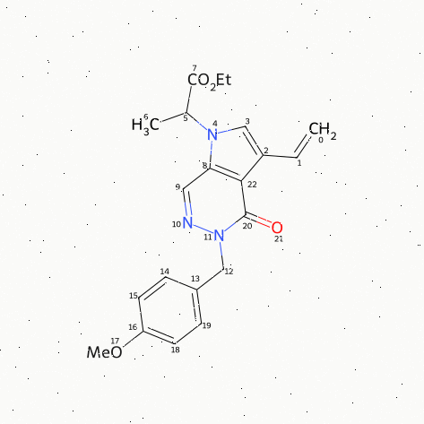 C=Cc1cn(C(C)C(=O)OCC)c2cnn(Cc3ccc(OC)cc3)c(=O)c12